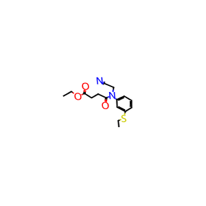 CCOC(=O)CCC(=O)N(CC#N)c1cccc(SCC)c1